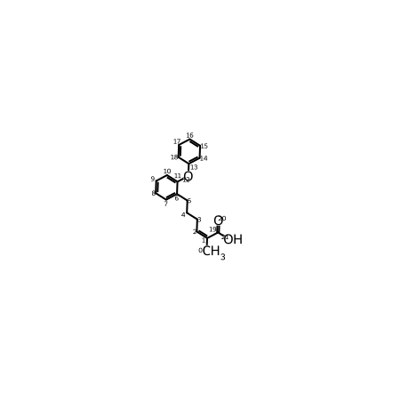 CC(=CCCCc1ccccc1Oc1ccccc1)C(=O)O